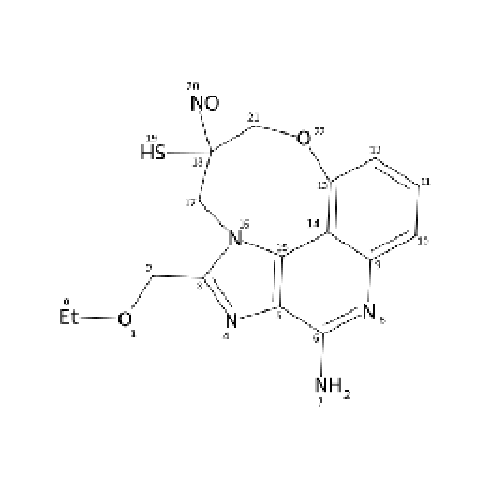 CCOCc1nc2c(N)nc3cccc4c3c2n1CC(S)(N=O)CO4